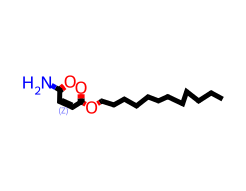 CCCCCCCCCCCCOC(=O)/C=C\C(N)=O